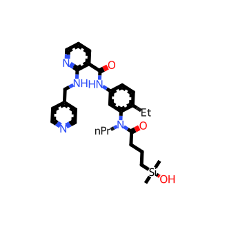 CCCN(C(=O)CCC[Si](C)(C)O)c1cc(NC(=O)c2cccnc2NCc2ccncc2)ccc1CC